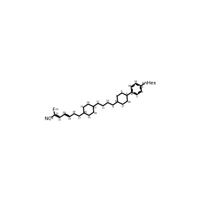 CCCCCCc1ccc(C2CCC(CCCCC3CCC(CCC=CC=C(F)C#N)CC3)CC2)cc1